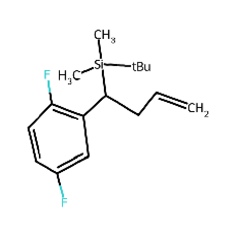 C=CCC(c1cc(F)ccc1F)[Si](C)(C)C(C)(C)C